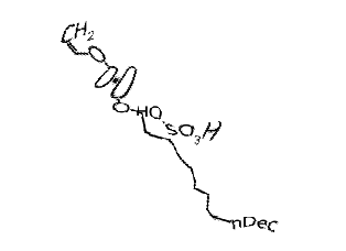 C=COOOOCCCCCCCCCCCCCCCCCC.O=S(=O)(O)O